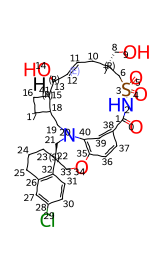 O=C1NS(=O)(=O)C[C@@H](CO)C/C=C/[C@H](O)[C@@H]2CCC2CN2C[C@@]3(CCCc4cc(Cl)ccc43)COc3ccc1cc32